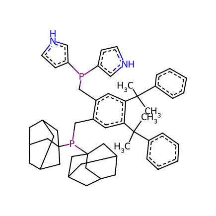 CC(C)(c1ccccc1)c1cc(CP(c2cc[nH]c2)c2cc[nH]c2)c(CP(C23CC4CC(CC(C4)C2)C3)C23CC4CC(CC(C4)C2)C3)cc1C(C)(C)c1ccccc1